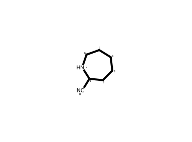 N#CC1CCCCCN1